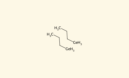 CC[CH2][GeH3].CC[CH2][GeH3]